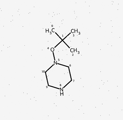 CC(C)(C)ON1CCNCC1